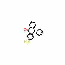 O=C1c2ccccc2Cc2ccccc21.S.c1ccccc1